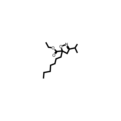 CCCCCCCC1(C(=O)OCC)CC(C(C)C)=NO1